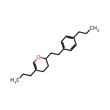 CCCC1=COC(CCc2ccc(CCC)cc2)CC1